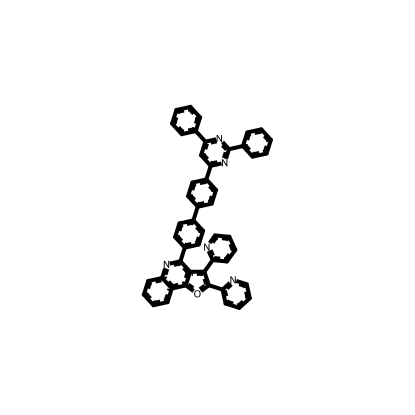 c1ccc(-c2cc(-c3ccc(-c4ccc(-c5nc6ccccc6c6oc(-c7ccccn7)c(-c7ccccn7)c56)cc4)cc3)nc(-c3ccccc3)n2)cc1